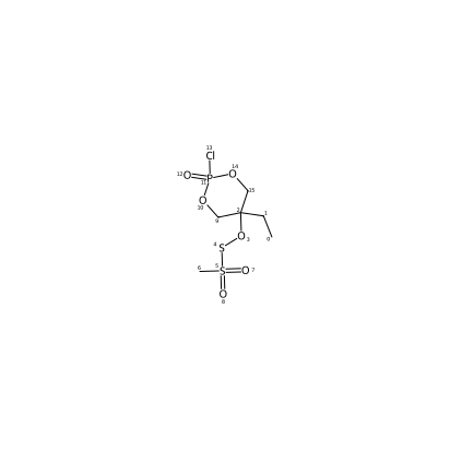 CCC1(OSS(C)(=O)=O)COP(=O)(Cl)OC1